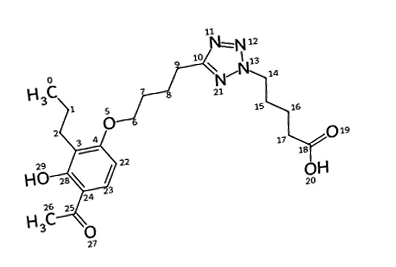 CCCc1c(OCCCCc2nnn(CCCCC(=O)O)n2)ccc(C(C)=O)c1O